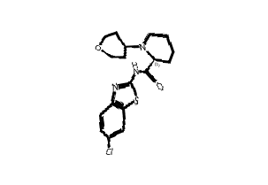 O=C(Nc1nc2ccc(Cl)cc2s1)[C@@H]1CCCCN1C1CCOCC1